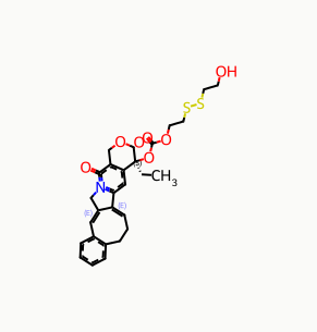 CC[C@@]1(OC(=O)OCCSSCCO)C(=O)OCc2c1cc1n(c2=O)CC2=C/c3ccccc3CC/C=C\21